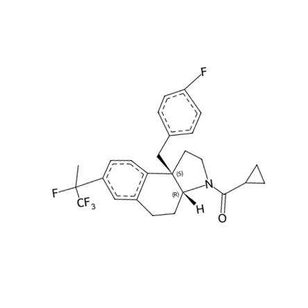 CC(F)(c1ccc2c(c1)CC[C@H]1N(C(=O)C3CC3)CC[C@@]21Cc1ccc(F)cc1)C(F)(F)F